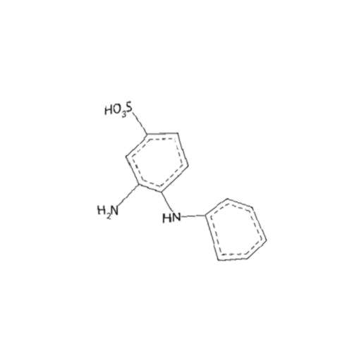 Nc1cc(S(=O)(=O)O)ccc1Nc1ccccc1